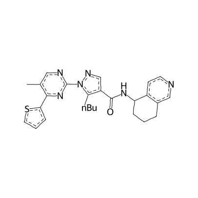 CCCCc1c(C(=O)NC2CCCc3cnccc32)cnn1-c1ncc(C)c(-c2cccs2)n1